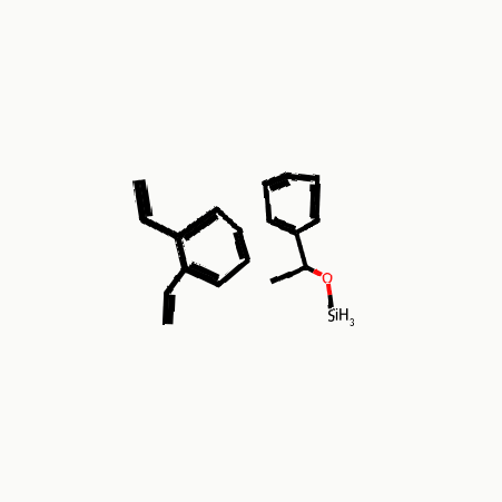 C=Cc1ccccc1C=C.CC(O[SiH3])c1ccccc1